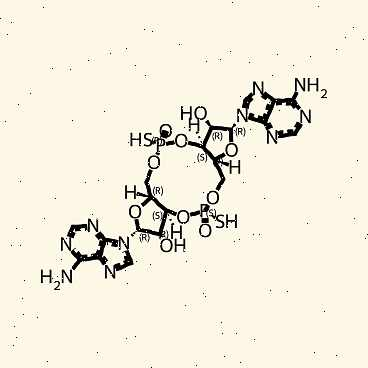 Nc1ncnc2c1ncn2[C@@H]1O[C@@H]2CO[P@@](=O)(S)O[C@H]3[C@@H](O)[C@H](n4cnc5c(N)ncnc54)O[C@@H]3CO[P@](=O)(S)O[C@H]2[C@H]1O